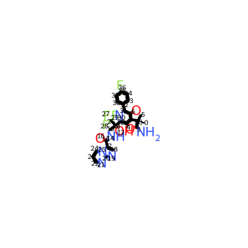 C[C@]1(C(N)=O)COc2c1cc([C@@](O)(CNC(=O)c1cnc3ncccn13)C(F)(F)F)nc2-c1ccc(F)cc1